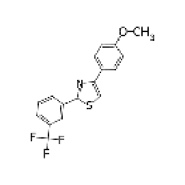 COc1ccc(-c2csc(-c3cccc(C(F)(F)F)c3)n2)cc1